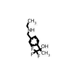 CCNCc1ccc(C(C)(O)C(F)(F)F)cc1